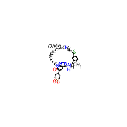 COC1CCCCCCCCn2c(=O)c(C3CCS(=O)(=O)CC3)cc3c(ncnc32)N[C@H](C)c2cccc(c2)C(F)(F)C2CCN(CC2)C1